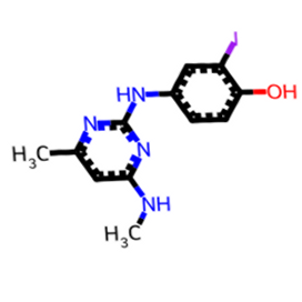 CNc1cc(C)nc(Nc2ccc(O)c(I)c2)n1